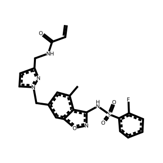 C=CC(=O)NCc1ccn(Cc2cc(C)c3c(NS(=O)(=O)c4ccccc4F)noc3c2)n1